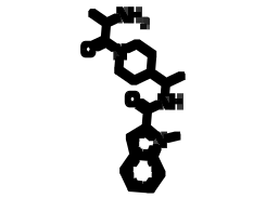 CC(N)C(=O)N1CCC(C(C)NC(=O)c2cc3ccccc3n2C)CC1